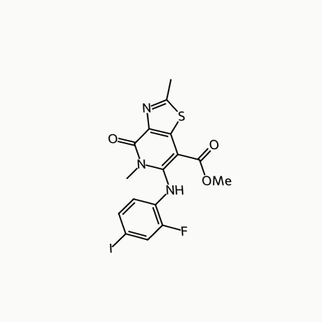 COC(=O)c1c(Nc2ccc(I)cc2F)n(C)c(=O)c2nc(C)sc12